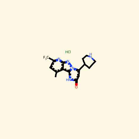 Cc1cc(C(F)(F)F)nc2nn3c(C4CCNCC4)cc(=O)[nH]c3c12.Cl